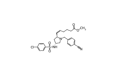 COC(=O)CCC/C=C\[C@@H]1C[C@@H](NS(=O)(=O)c2ccc(Cl)cc2)CN1Cc1ccc(C#N)cc1